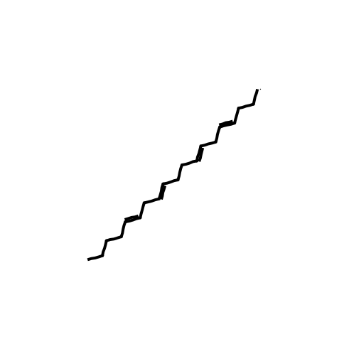 [CH2]CCC=CCC=CCCC=CCC=CCCCC